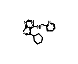 c1ccc(CNc2ncnc3scc(C4CCCCC4)c23)nc1